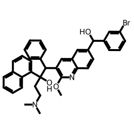 COc1nc2ccc(C(O)c3cccc(Br)c3)cc2cc1C(c1ccccc1)C(O)(CCN(C)C)c1cccc2ccccc12